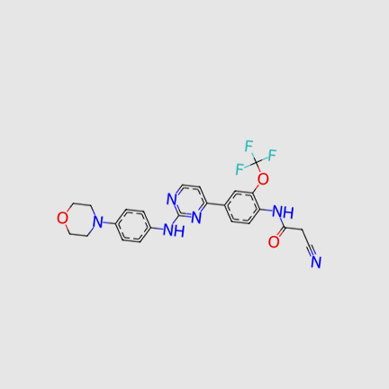 N#CCC(=O)Nc1ccc(-c2ccnc(Nc3ccc(N4CCOCC4)cc3)n2)cc1OC(F)(F)F